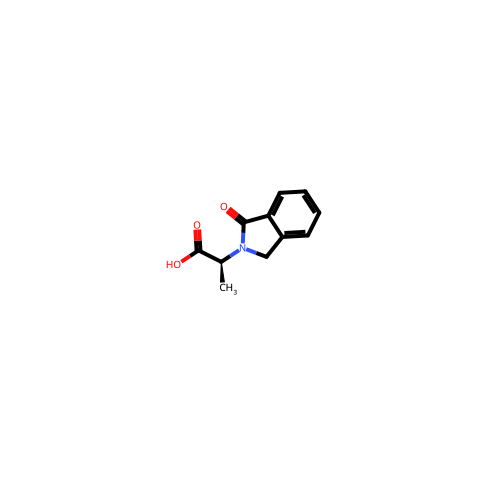 C[C@@H](C(=O)O)N1Cc2ccccc2C1=O